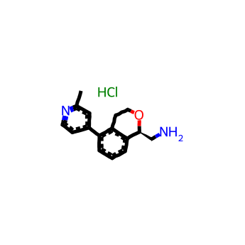 Cc1cc(-c2cccc3c2CCO[C@H]3CN)ccn1.Cl